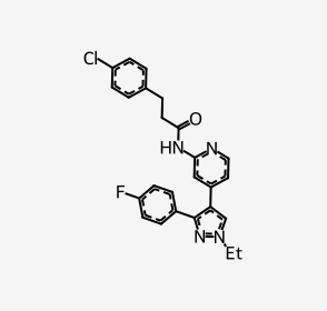 CCn1cc(-c2ccnc(NC(=O)CCc3ccc(Cl)cc3)c2)c(-c2ccc(F)cc2)n1